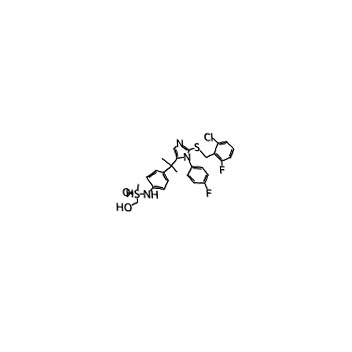 CC(C)(c1ccc(N[SH](C)(=O)CO)cc1)c1cnc(SCc2c(F)cccc2Cl)n1-c1ccc(F)cc1